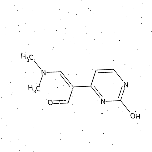 CN(C)C=C(C=O)c1ccnc(O)n1